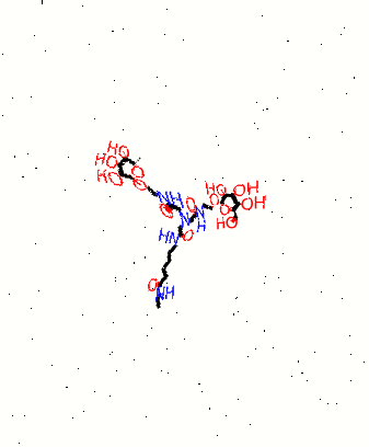 CCNC(=O)CCCCCNC(=O)CN(CC(=O)NCCO[C@H]1O[C@H](CO)[C@@H](O)[C@H](O)[C@@H]1O)CC(=O)NCCO[C@@H]1O[C@@H](C)[C@@H](O)[C@@H](O)[C@@H]1O